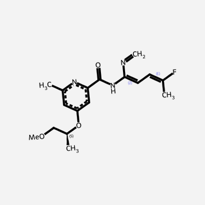 C=N/C(=C\C=C(/C)F)NC(=O)c1cc(O[C@@H](C)COC)cc(C)n1